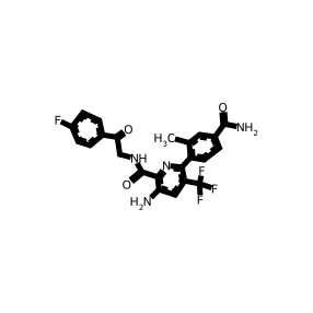 Cc1cc(C(N)=O)ccc1-c1nc(C(=O)NCC(=O)c2ccc(F)cc2)c(N)cc1C(F)(F)F